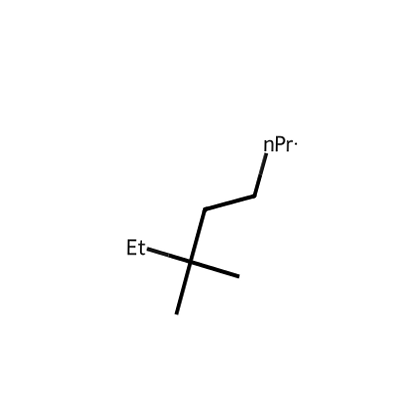 CC[CH]CCC(C)(C)CC